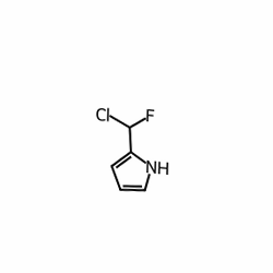 FC(Cl)c1ccc[nH]1